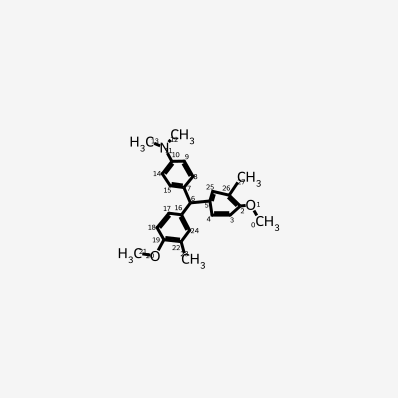 COc1ccc(C(c2ccc(N(C)C)cc2)c2ccc(OC)c(C)c2)cc1C